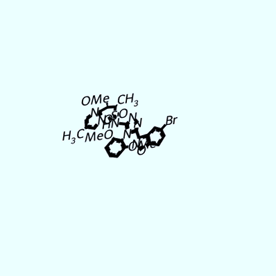 COc1cccc(OC)c1-n1c(NS(=O)(=O)[C@@H](C)[C@H](OC)c2ncc(C)cn2)nnc1-c1noc2ccc(Br)cc12